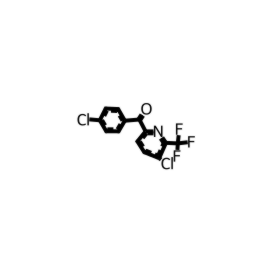 O=C(c1ccc(Cl)cc1)c1ccc(Cl)c(C(F)(F)F)n1